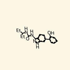 CCC(CC)NC(=O)Nc1n[nH]c2cc(-c3ccccc3O)ccc12